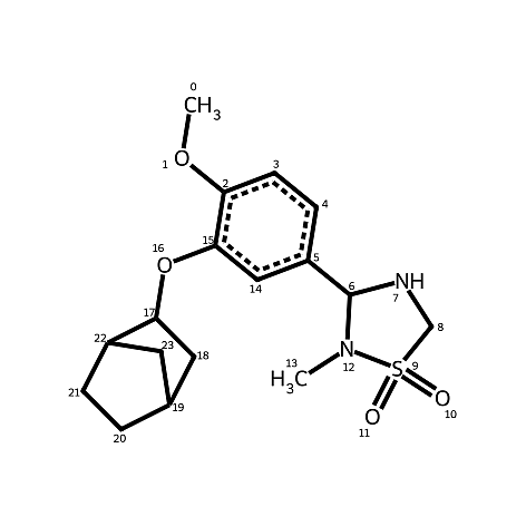 COc1ccc(C2NCS(=O)(=O)N2C)cc1OC1CC2CCC1C2